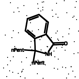 CCCCCC1(CCCCC)NC(=O)c2ccccc21